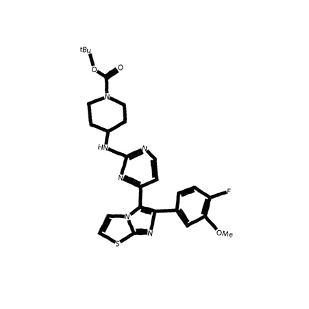 COc1cc(-c2nc3sccn3c2-c2ccnc(NC3CCN(C(=O)OC(C)(C)C)CC3)n2)ccc1F